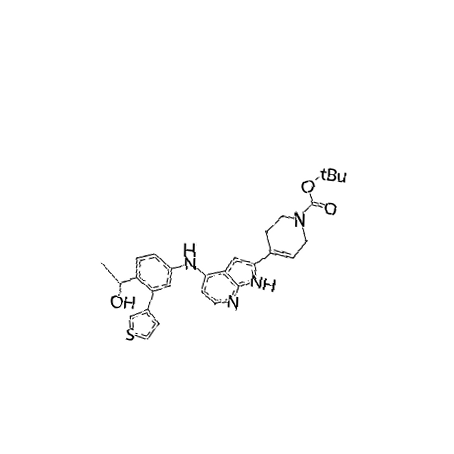 CC(O)c1ccc(Nc2ccnc3[nH]c(C4=CCN(C(=O)OC(C)(C)C)CC4)cc23)cc1-c1ccsc1